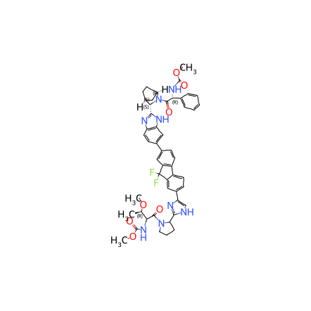 COC(=O)NC(C(=O)N1CCCC1c1nc(-c2ccc3c(c2)C(F)(F)c2cc(-c4ccc5nc([C@@H]6[C@H]7CC[C@H](C7)N6C(=O)[C@H](NC(=O)OC)c6ccccc6)[nH]c5c4)ccc2-3)c[nH]1)[C@@H](C)OC